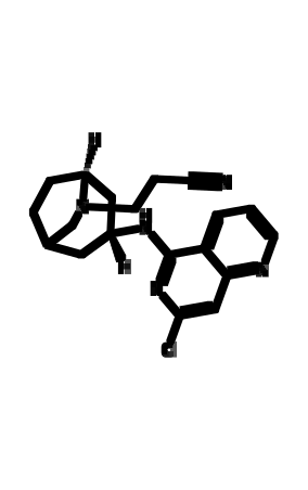 N#CCCN1CC2CC[C@H]1C[C@H](Nc1nc(Cl)cc3ncccc13)C2